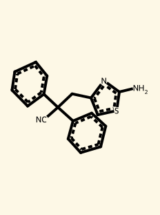 N#CC(Cc1csc(N)n1)(c1ccccc1)c1ccccc1